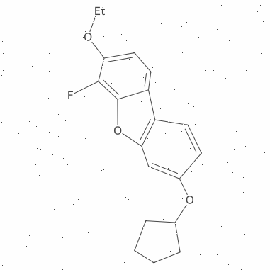 CCOc1ccc2c(oc3cc(OC4CCCC4)ccc32)c1F